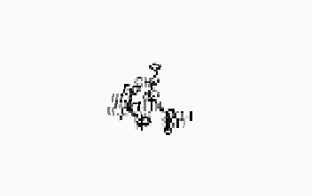 CC(C)(CCn1cnc2ccccc21)NCC(O)c1ccc(O)cc1F.O=c1[nH]c2c(O)ccc(CCNCCS(=O)(=O)CCCOCCc3ccccc3)c2s1